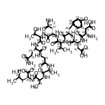 CC(C)C[C@H](NC(=O)[C@H](CO)NC(=O)[C@H](C)NC(=O)CNC(=O)[C@H](CCC(N)=O)NC(=O)[C@@H](NC(=O)[C@H](CC(N)=O)NC(=O)[C@@H](NC(=O)[C@H](Cc1ccc(O)cc1)NC(=O)[C@H](CC(=O)O)NC(=O)[C@@H](N)CC(=O)O)C(C)C)[C@@H](C)O)C(=O)O